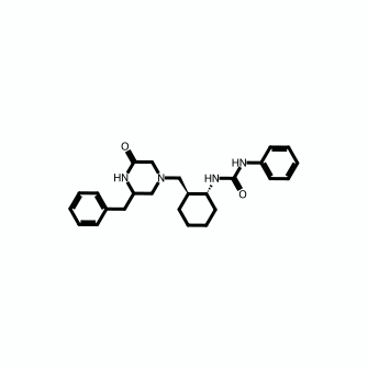 O=C1CN(C[C@@H]2CCCC[C@H]2NC(=O)Nc2ccccc2)CC(Cc2ccccc2)N1